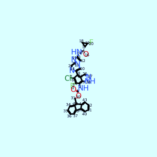 O=C(Nc1c(F)c(Cl)c(-c2cn3cc(NC(=O)[C@@H]4C[C@@H]4F)nc3cn2)c2cn[nH]c12)OCC1c2ccccc2-c2ccccc21